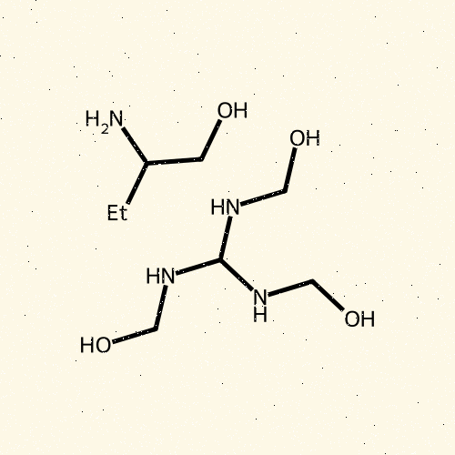 CCC(N)CO.OCNC(NCO)NCO